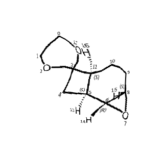 C1COC2(C[C@@H]3[C@H]4O[C@H]4CC[C@@H]32)O1